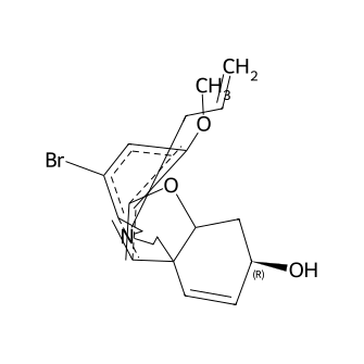 C=CCN1CCC23C=C[C@H](O)CC2Oc2c(OC)cc(Br)c(c23)C1